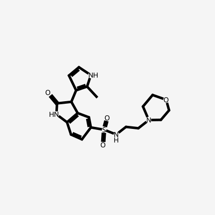 Cc1[nH]ccc1C1C(=O)Nc2ccc(S(=O)(=O)NCCN3CCOCC3)cc21